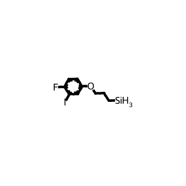 Fc1ccc(OCCC[SiH3])cc1I